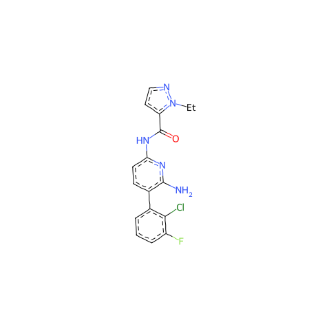 CCn1nccc1C(=O)Nc1ccc(-c2cccc(F)c2Cl)c(N)n1